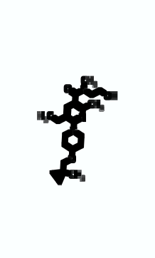 CCc1cc(C(=O)N(C)CCO)c(C)nc1N1CCC(OCC2(C)CC2)CC1